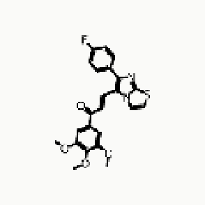 COc1cc(C(=O)/C=C/c2c(-c3ccc(F)cc3)nc3sccn23)cc(OC)c1OC